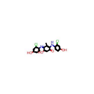 CC1=C(Nc2ccc(O)cc2Cl)C(=O)C=C(O)/C1=N\c1ccc(O)cc1Cl